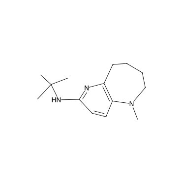 CN1CCCCc2nc(NC(C)(C)C)ccc21